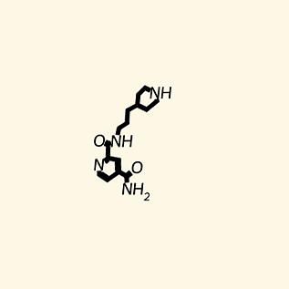 NC(=O)c1ccnc(C(=O)NCCCC2CCNCC2)c1